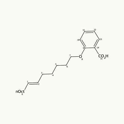 CCCCCCCCC=CCCCCCOc1ccccc1C(=O)O